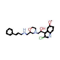 COc1ccc2ncc(Cl)c(C(O)CN3CCOC(CNC/C=C/c4ccccc4)C3)c2c1